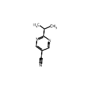 CC(C)c1ncc(C#N)cn1